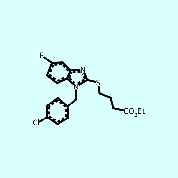 CCOC(=O)CCCSc1nc2cc(F)ccc2n1Cc1ccc(Cl)cc1